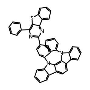 c1ccc(-c2nc(-c3ccc(-n4c5ccccc5c5ccc6c7ccccc7n(-c7ccccc7)c6c54)cc3)nc3c2sc2ccccc23)cc1